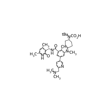 Cc1cc(C)c(CNC(=O)c2cc(-c3ccc(CN(C)C)nc3)cc(N(C)[C@H]3CC[C@H](N(C(=O)O)C(C)(C)C)CC3)c2C)c(=O)[nH]1